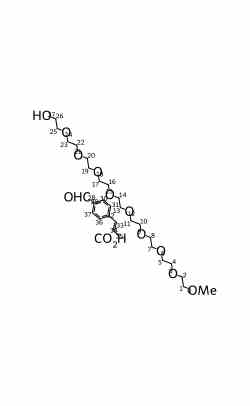 COCCOCCOCCOCCOCCOCCOCCOCCOCCO.O=Cc1ccc(C=CC(=O)O)cc1